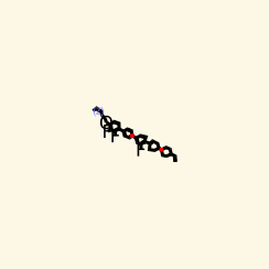 C=CC1CCC(C2CC=C(c3ccc(-c4ccc(-c5ccc(OCC/C=C\C)c(F)c5F)cc4)cc3F)CC2)CC1